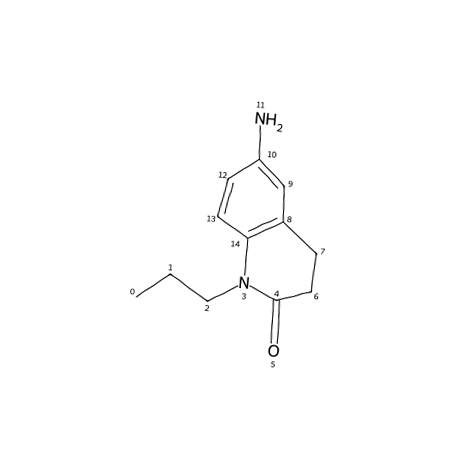 CCCN1C(=O)CCc2cc(N)ccc21